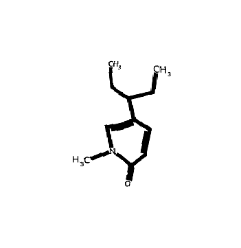 CCC(CC)c1ccc(=O)n(C)c1